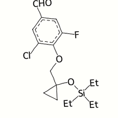 CC[Si](CC)(CC)OC1(COc2c(F)cc(C=O)cc2Cl)CC1